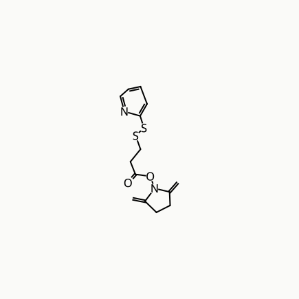 C=C1CCC(=C)N1OC(=O)CCSSc1ccccn1